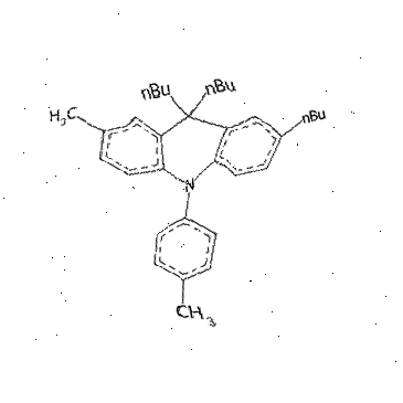 CCCCc1ccc2c(c1)C(CCCC)(CCCC)c1cc(C)ccc1N2c1ccc(C)cc1